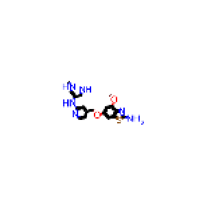 CN/C=C(\C=N)Nc1cc(COc2cc(OC)c3nc(N)sc3c2)ccn1